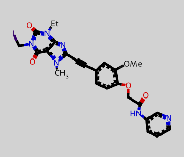 CCn1c(=O)n(CI)c(=O)c2c1nc(C#Cc1ccc(OCC(=O)Nc3cccnc3)c(OC)c1)n2C